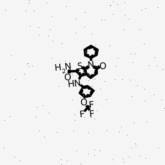 NC(=O)c1sc2c(ccc(=O)n2-c2ccccc2)c1Nc1cccc(OC(F)(F)F)c1